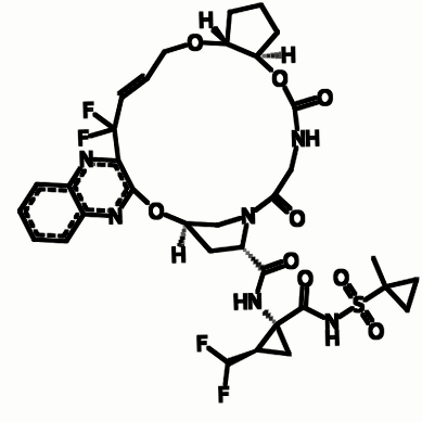 CC1(S(=O)(=O)NC(=O)[C@@]2(NC(=O)[C@@H]3C[C@@H]4CN3C(=O)CNC(=O)O[C@@H]3CCC[C@H]3OC/C=C/C(F)(F)c3nc5ccccc5nc3O4)C[C@H]2C(F)F)CC1